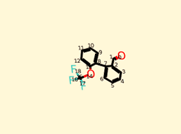 O=Cc1ccccc1-c1ccccc1OC(F)(F)F